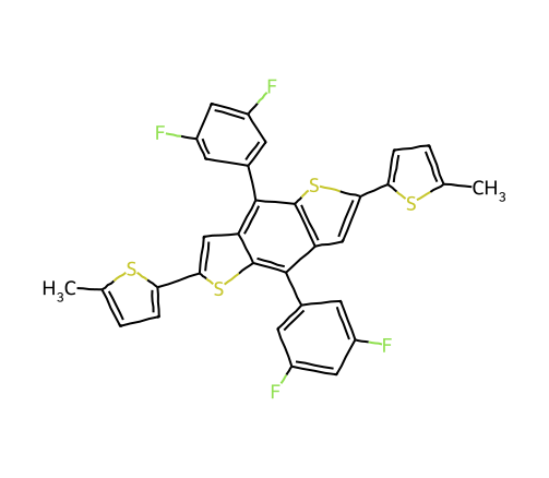 Cc1ccc(-c2cc3c(-c4cc(F)cc(F)c4)c4sc(-c5ccc(C)s5)cc4c(-c4cc(F)cc(F)c4)c3s2)s1